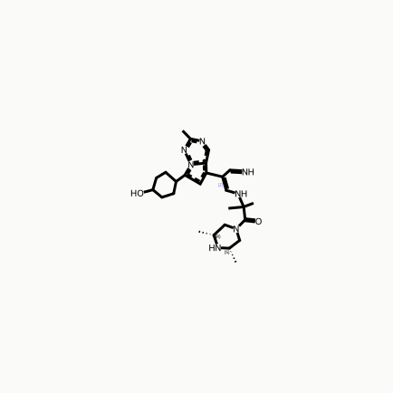 Cc1ncc2c(/C(C=N)=C/NC(C)(C)C(=O)N3C[C@@H](C)N[C@@H](C)C3)cc(C3CCC(O)CC3)n2n1